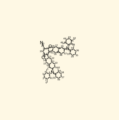 Cc1ccc(C)c(N(c2ccc3cc4c(cc3c2)oc2cc(C#N)c3oc5cc6cc(N(c7ccccc7C)c7cc(C)ccc7C)ccc6cc5c3c24)c2ccccc2C)c1